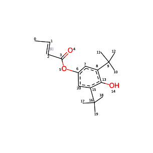 C/C=C/C(=O)Oc1cc(C(C)(C)C)c(O)c(C(C)(C)C)c1